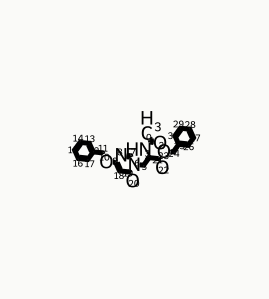 CC(=O)NC(Cn1cnc(OCc2ccccc2)cc1=O)C(=O)OCc1ccccc1